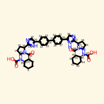 O=C(O)N[C@@H]1CCCC[C@@H]1C(=O)N1CCCC1c1ncc(-c2ccc(-c3ccc(-c4cnc(C5CCCN5C(=O)[C@H]5CCCC[C@H]5NC(=O)O)[nH]4)cc3)cc2)[nH]1